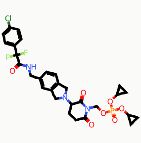 O=C1CCC(N2Cc3ccc(CNC(=O)C(F)(F)c4ccc(Cl)cc4)cc3C2)C(=O)N1COP(=O)(OC1CC1)OC1CC1